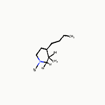 [2H]N1CCC(CCCC)C([2H])(C)C1([2H])[2H]